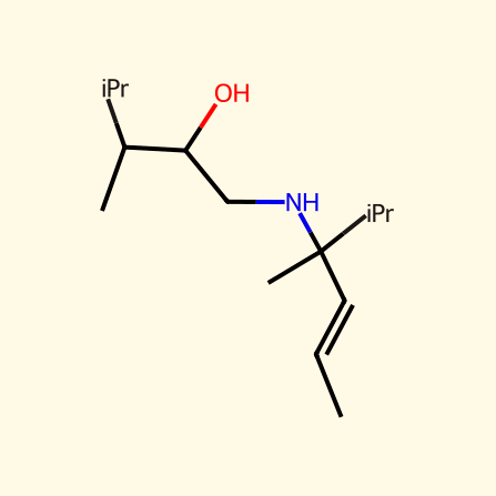 CC=CC(C)(NCC(O)C(C)C(C)C)C(C)C